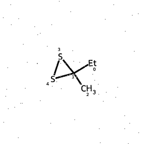 CCC1(C)SS1